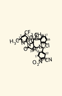 Cc1cc(C(F)(F)F)cc(N2C(=O)C[C@@H]3CN(Cc4ccc([N+](=O)[O-])c(C#N)c4)c4c(Cl)cccc4N(C)C(=O)[C@H]32)n1